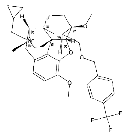 COc1ccc2c3c1O[C@H]1[C@@]4(OC)CC[C@@]5(C[C@@H]4COCc4ccc(C(F)(F)F)cc4)[C@@H](C2)[N@@+](C)(CC2CC2)CC[C@]315